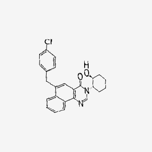 O=c1c2cc(Cc3ccc(Cl)cc3)c3ccccc3c2ncn1[C@H]1CCCC[C@@H]1O